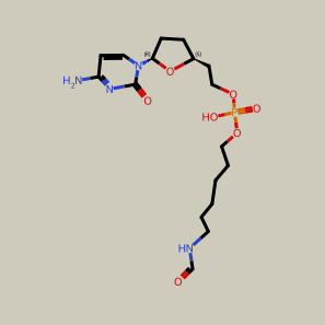 Nc1ccn([C@H]2CC[C@@H](CCOP(=O)(O)OCCCCCCNC=O)O2)c(=O)n1